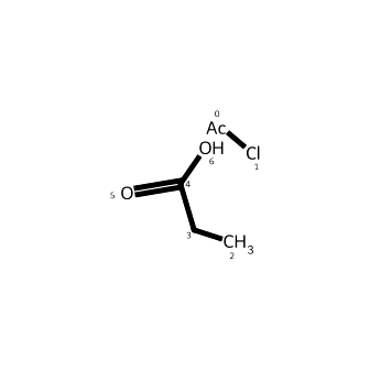 CC(=O)Cl.CCC(=O)O